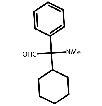 CNC([C]=O)(c1ccccc1)C1CCCCC1